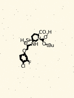 CC(C)(C)OC(=O)N1C[C@]([SiH3])(NC(=O)COc2ccc(Cl)c(F)c2)CC[C@@H]1C(=O)O